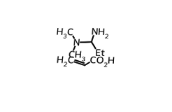 C=CC(=O)O.CCC(N)N(C)C